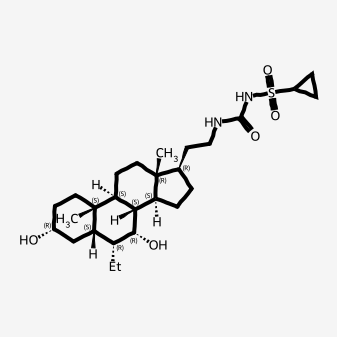 CC[C@H]1[C@@H](O)[C@@H]2[C@H](CC[C@]3(C)[C@@H](CCNC(=O)NS(=O)(=O)C4CC4)CC[C@@H]23)[C@@]2(C)CC[C@@H](O)C[C@@H]12